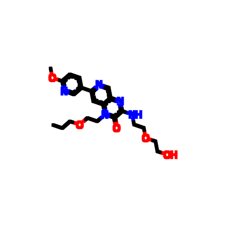 CCCOCCn1c(=O)c(NCCOCCO)nc2cnc(-c3ccc(OC)nc3)cc21